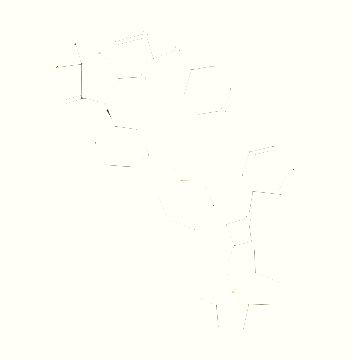 CC(C)[Si](OC1CN(c2cccc(S(=O)(=O)N3CCC(Nc4ncc5c(n4)N([C@@H]4CCC[C@@H](OC6CCCCO6)C4)C(=O)C54CC4)CC3)c2)C1)(C(C)C)C(C)C